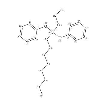 CCCCCCCC[Si](OCC)(Oc1ccccc1)Oc1ccccc1